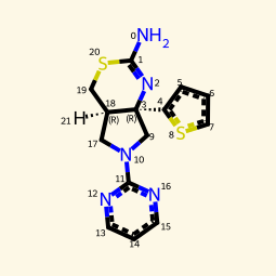 NC1=N[C@@]2(c3cccs3)CN(c3ncccn3)C[C@H]2CS1